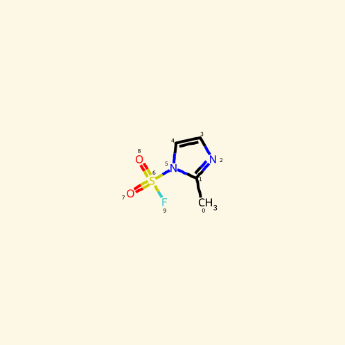 Cc1nccn1S(=O)(=O)F